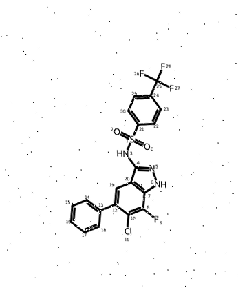 O=S(=O)(Nc1n[nH]c2c(F)c(Cl)c(-c3ccccc3)cc12)c1ccc(C(F)(F)F)cc1